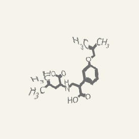 CC(C)COc1cccc(C(CNC(CC(C)C)C(=O)O)C(=O)O)c1